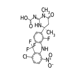 CN1C(=O)C[C@@](C)(c2cccc(Nc3c([N+](=O)[O-])ccc(Cl)c3C(F)(F)F)c2F)N/C1=N\C(=O)O